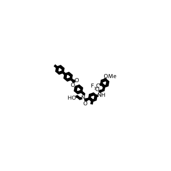 COc1ccc(CC(=O)Nc2ccc(C(=O)N(CCO)Cc3ccc(OC(=O)c4ccc(-c5ccc(C)cc5)cc4)cc3)c(C)c2)c(C(F)(F)F)c1